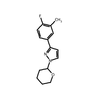 Cc1cc(-c2ccn(C3CCCCO3)n2)ccc1F